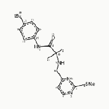 CSc1nccc(CNC(C)(C)C(=O)Nc2ccc(C(C)(C)C)cc2)n1